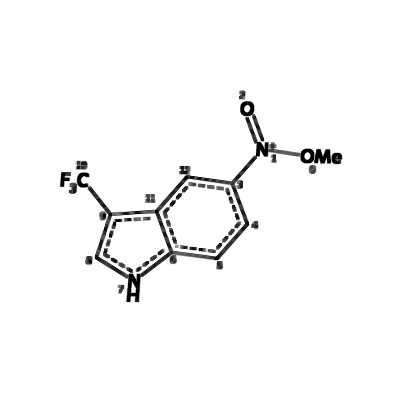 CO[N+](=O)c1ccc2[nH]cc(C(F)(F)F)c2c1